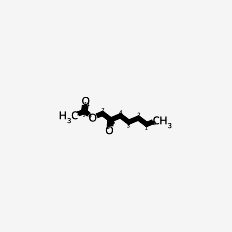 CCCCCC(=O)COC(C)=O